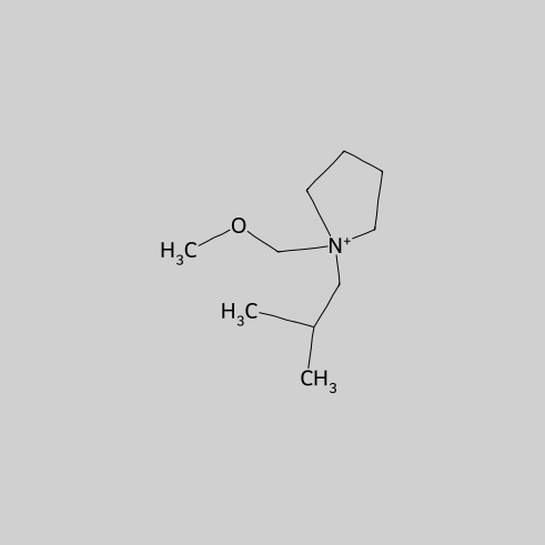 COC[N+]1(CC(C)C)CCCC1